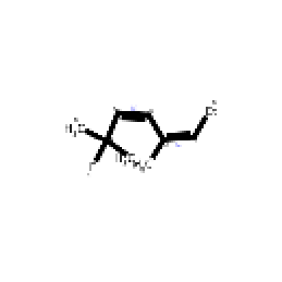 CC/C=C(C)\C=C/C(C)(C)F